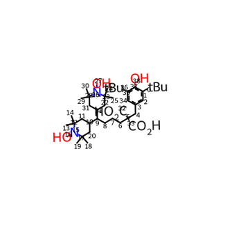 CC(C)(C)c1cc(CC(CCCC(C2CC(C)(C)N(O)C(C)(C)C2)C2CC(C)(C)N(O)C(C)(C)C2)(C(=O)O)C(=O)O)cc(C(C)(C)C)c1O